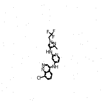 Cc1nn(CC(F)(F)F)cc1Nc1cc(Nc2cnnc3c(Cl)cccc23)ccn1